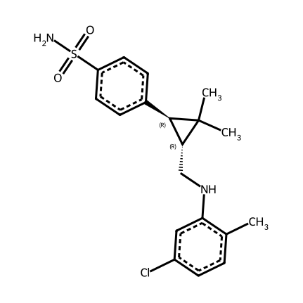 Cc1ccc(Cl)cc1NC[C@@H]1[C@@H](c2ccc(S(N)(=O)=O)cc2)C1(C)C